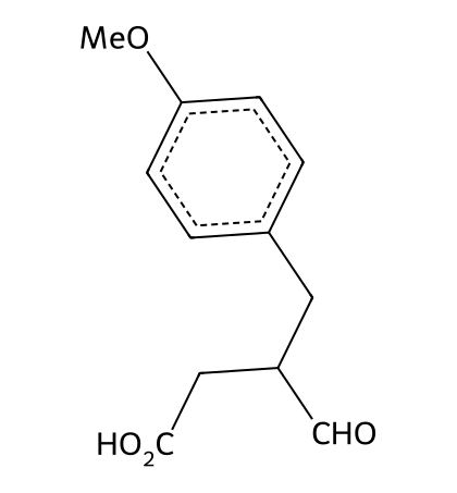 COc1ccc(CC(C=O)CC(=O)O)cc1